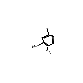 [CH2]c1ccc([N+](=O)[O-])c(OC)c1